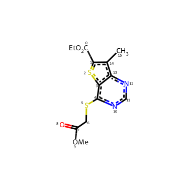 CCOC(=O)c1sc2c(SCC(=O)OC)ncnc2c1C